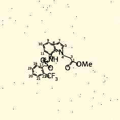 COC(=O)CCn1ccc2cccc(NS(=O)(=O)c3ccccc3C(F)(F)F)c21